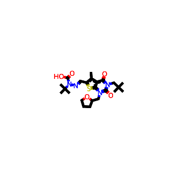 Cc1c(C=NN(C(=O)O)C(C)(C)C)sc2c1c(=O)n(CC(C)(C)C)c(=O)n2CC1CCCO1